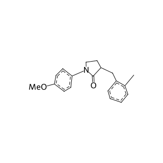 COc1ccc(N2CCC(Cc3ccccc3C)C2=O)cc1